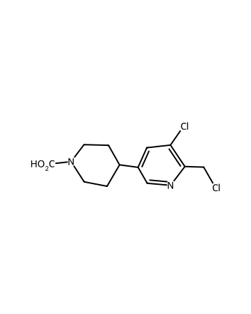 O=C(O)N1CCC(c2cnc(CCl)c(Cl)c2)CC1